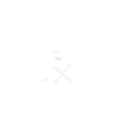 O=S(=O)([O-])[O-].[Cl-].[Cu+2].[Na+]